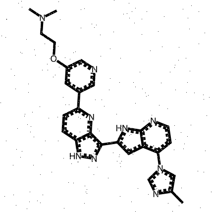 Cc1cn(-c2ccnc3[nH]c(-c4n[nH]c5ccc(-c6cncc(OCCN(C)C)c6)nc45)cc23)cn1